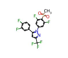 CS(=O)(=O)c1c(F)cc(-n2nc(C(F)(F)F)cc2-c2ccc(F)c(F)c2)cc1F